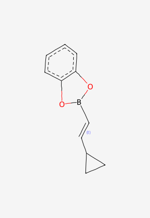 C(=C\C1CC1)/B1Oc2ccccc2O1